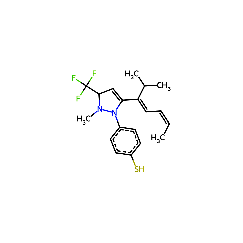 C/C=C\C=C(\C1=CC(C(F)(F)F)N(C)N1c1ccc(S)cc1)C(C)C